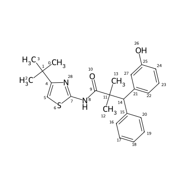 CC(C)(C)c1csc(NC(=O)C(C)(C)C(c2ccccc2)c2cccc(O)c2)n1